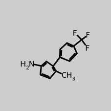 Cc1ccc(N)cc1-c1ccc(C(F)(F)F)cc1